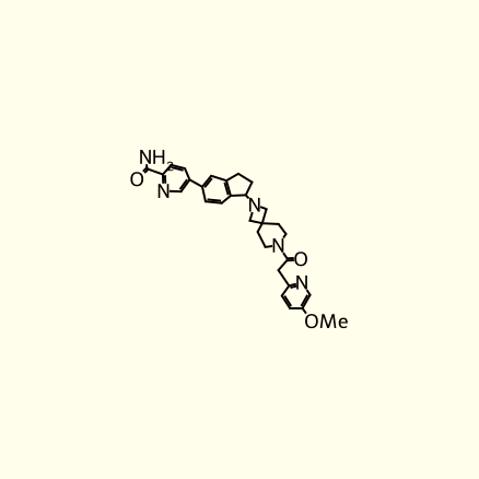 COc1ccc(CC(=O)N2CCC3(CC2)CN(C2CCc4cc(-c5ccc(C(N)=O)nc5)ccc42)C3)nc1